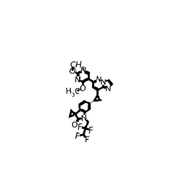 COc1ncc(-c2cc(C3C[C@@H]3c3ccc4c(c3)N(CC(F)(F)C(F)F)C(=O)C43CC3)c3nccn3n2)c(OC)n1